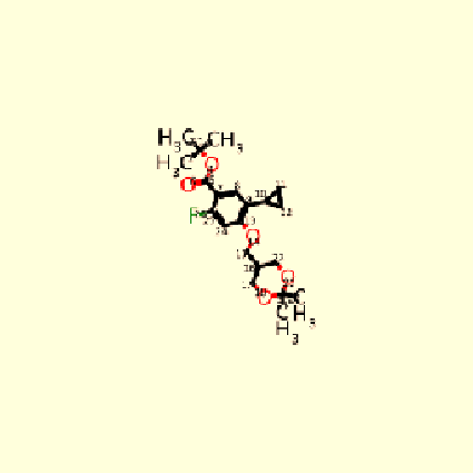 CC(C)(C)OC(=O)c1cc(C2CC2)c(OCC2COC(C)(C)OC2)cc1F